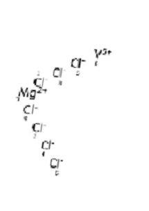 [Cl-].[Cl-].[Cl-].[Cl-].[Cl-].[Cl-].[Cl-].[Mg+2].[V+5]